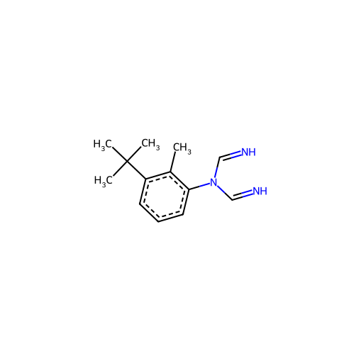 Cc1c(N(C=N)C=N)cccc1C(C)(C)C